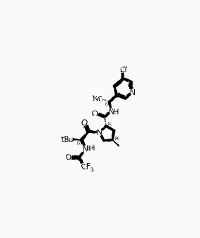 C[C@@H]1C[C@@H](C(=O)N[C@H](C#N)c2cncc(Cl)c2)N(C(=O)[C@@H](NC(=O)C(F)(F)F)C(C)(C)C)C1